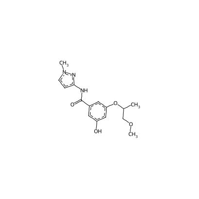 COCC(C)Oc1cc(O)cc(C(=O)Nc2ccn(C)n2)c1